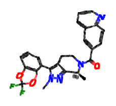 C[C@H]1c2nn(C)c(-c3cccc4c3OC(F)(F)O4)c2CCN1C(=O)c1ccc2ncccc2c1